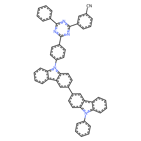 N#Cc1cccc(-c2nc(-c3ccccc3)nc(-c3ccc(-n4c5ccccc5c5cc(-c6ccc7c(c6)c6ccccc6n7-c6ccccc6)ccc54)cc3)n2)c1